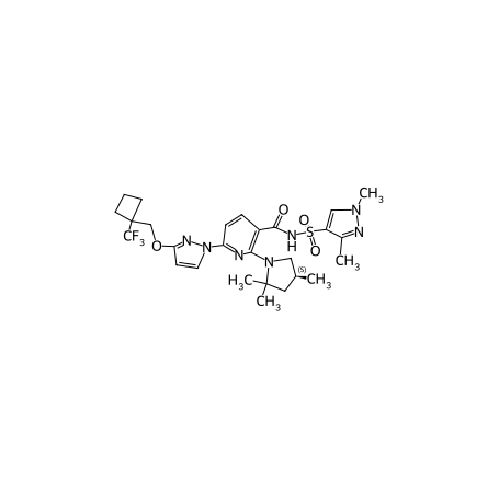 Cc1nn(C)cc1S(=O)(=O)NC(=O)c1ccc(-n2ccc(OCC3(C(F)(F)F)CCC3)n2)nc1N1C[C@@H](C)CC1(C)C